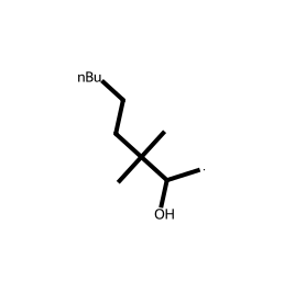 [CH2]C(O)C(C)(C)CCCCCC